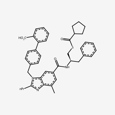 CCCc1nc2c(C)cc(C(=O)N[C@@H](CSC(=O)C3CCCC3)Cc3ccccc3)cc2n1Cc1ccc(-c2ccccc2C(=O)O)cc1